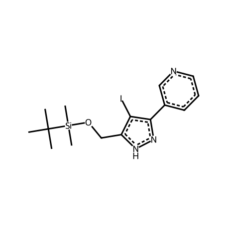 CC(C)(C)[Si](C)(C)OCc1[nH]nc(-c2cccnc2)c1I